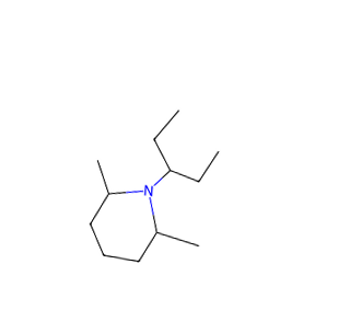 CCC(CC)N1C(C)CCCC1C